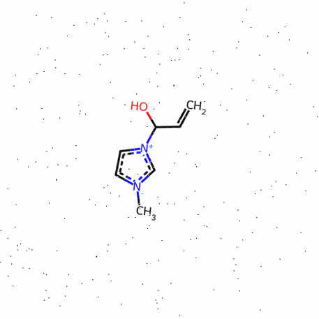 C=CC(O)[n+]1ccn(C)c1